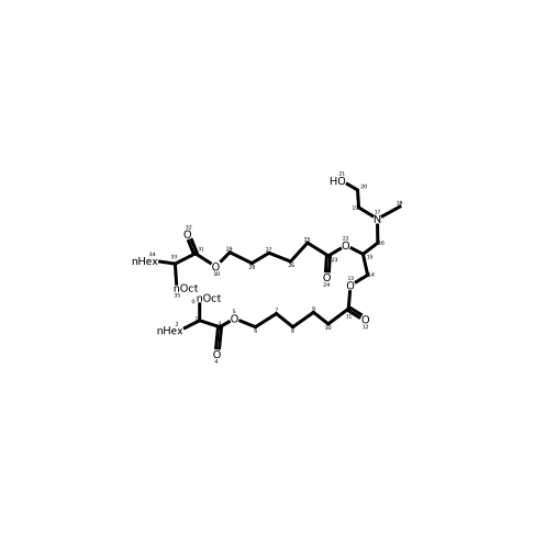 CCCCCCCCC(CCCCCC)C(=O)OCCCCCC(=O)OCC(CN(C)CCO)OC(=O)CCCCCOC(=O)C(CCCCCC)CCCCCCCC